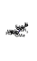 COc1cc(/C=C2/C(C)=C(CC(=O)NCc3cccnc3)c3cc(F)ccc32)cc(OC)c1OCCB(O)O